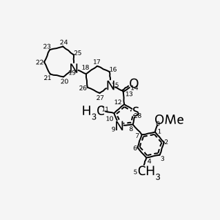 COc1ccc(C)cc1-c1nc(C)c(C(=O)N2CCC(N3CCCCCC3)CC2)s1